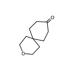 O=C1CCC2(CCOCC2)CC1